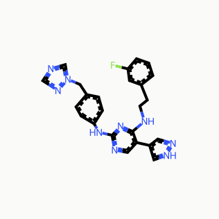 Fc1cccc(CCNc2nc(Nc3ccc(Cn4cncn4)cc3)ncc2-c2cn[nH]c2)c1